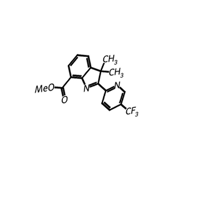 COC(=O)c1cccc2c1N=C(c1ccc(C(F)(F)F)cn1)C2(C)C